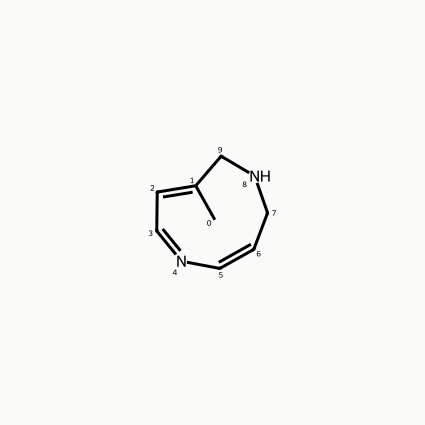 C\C1=C/C=N\C=C/CNC1